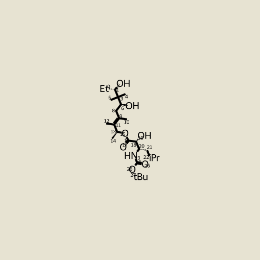 CC[C@H](O)C(C)(C)[C@@H](O)C/C(C)=C(\C)[C@H](C)OC(=O)[C@H](O)[C@H](CC(C)C)NC(=O)OC(C)(C)C